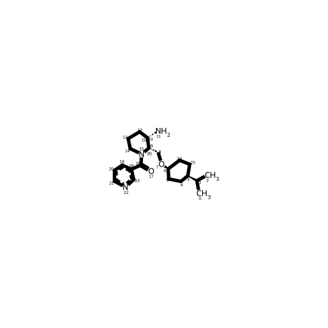 CC(C)[C@H]1CC[C@@H](OC[C@H]2[C@@H](N)CCCN2C(=O)c2cccnc2)CC1